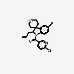 C=CCC1N(C(=O)c2ccc(Cl)nc2)c2ccc(F)cc2C12CCNCC2